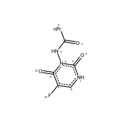 CCCC(=O)Nn1c(=O)[nH]cc(F)c1=O